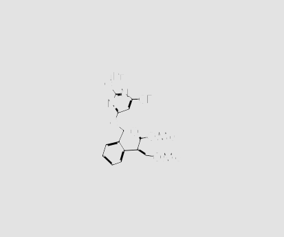 COC=C(C(=O)OC)c1ccccc1COc1cc(C(F)(F)F)nc(OC(C)C)n1